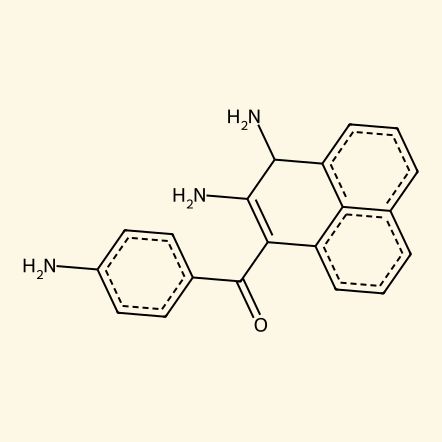 NC1=C(C(=O)c2ccc(N)cc2)c2cccc3cccc(c23)C1N